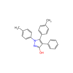 Cc1ccc(-c2c(-c3ccccc3)c(O)nn2-c2ccc(C)cc2)cc1